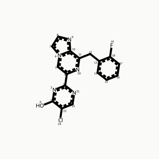 Oc1nc(-c2cn3ccnc3c(Cc3ccccc3F)n2)ncc1Cl